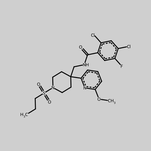 CCCS(=O)(=O)N1CCC(CNC(=O)c2cc(F)c(Cl)cc2Cl)(c2cccc(OC)n2)CC1